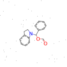 O=COC(c1ccccc1)N1CCc2ccccc21